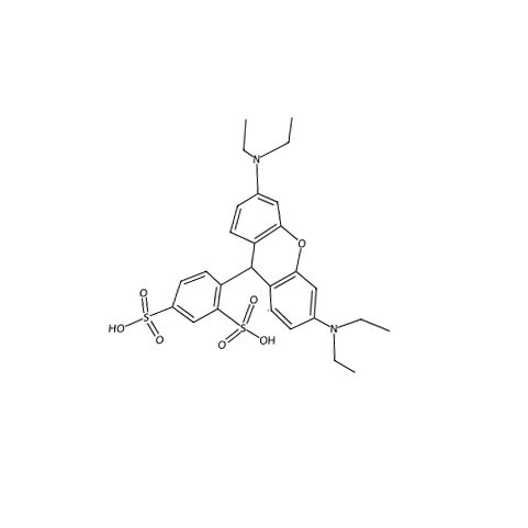 CCN(CC)c1c[c]c2c(c1)Oc1cc(N(CC)CC)ccc1C2c1ccc(S(=O)(=O)O)cc1S(=O)(=O)O